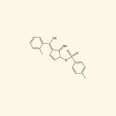 Cc1ccc(S(=O)(=O)OC2C=CC(=C(C#N)c3ccccc3C)S2=N)cc1